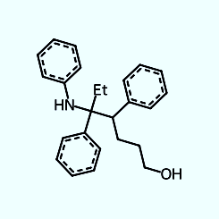 CCC(Nc1ccccc1)(c1ccccc1)C(CCCO)c1ccccc1